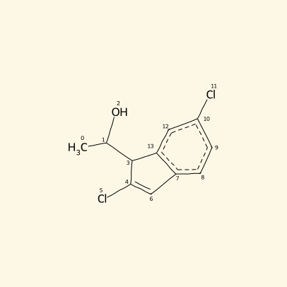 CC(O)C1C(Cl)=Cc2ccc(Cl)cc21